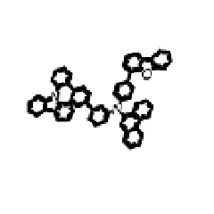 c1cc(-c2ccc(-c3ccccc3-n3c4ccccc4c4ccccc43)cc2)cc(N(c2ccc(-c3cccc4c3oc3ccccc34)cc2)c2cc3ccccc3c3ccccc23)c1